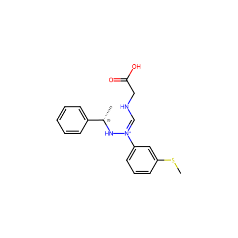 CSc1cccc([N+](=CNCC(=O)O)N[C@@H](C)c2ccccc2)c1